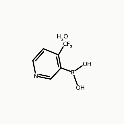 O.OB(O)c1cnccc1C(F)(F)F